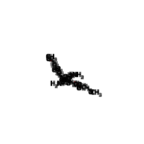 COCCCC1CCC(C(=O)Oc2ccc(C=CC(=O)CC(Cc3ccc(N)cc3)(Cc3ccc(N)cc3)C(O)(O)C(=O)C=Cc3ccc(OC(=O)C4CCC(CCCOC)CC4)cc3)cc2)CC1